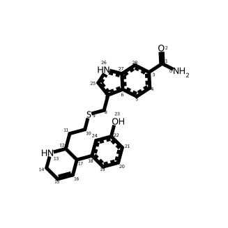 NC(=O)c1ccc2c(CSCCC3NCC=CC3c3cccc(O)c3)c[nH]c2c1